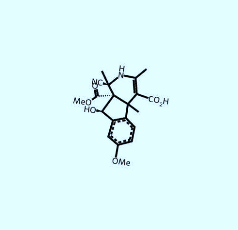 COC(=O)[C@@]12[C@H](O)c3cc(OC)ccc3C1(C)C(C(=O)O)=C(C)N[C@]2(C)C#N